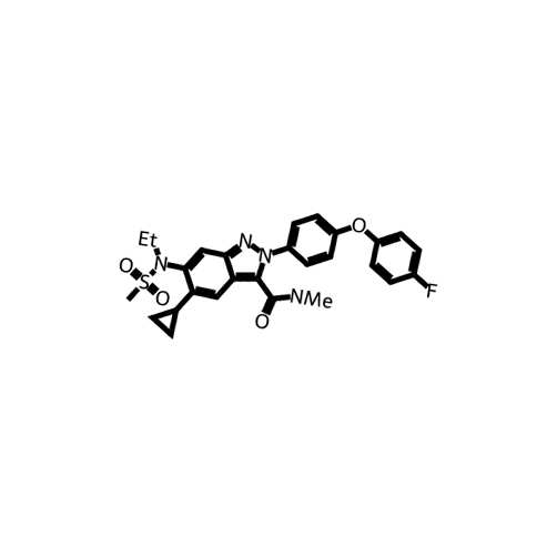 CCN(c1cc2nn(-c3ccc(Oc4ccc(F)cc4)cc3)c(C(=O)NC)c2cc1C1CC1)S(C)(=O)=O